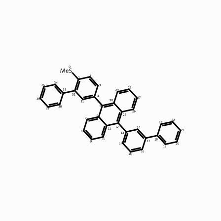 CSc1ccc(-c2c3ccccc3c(-c3cccc(-c4ccccc4)c3)c3ccccc23)cc1-c1ccccc1